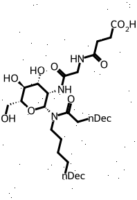 CCCCCCCCCCCCCCN(C(=O)CCCCCCCCCCC)[C@@H]1O[C@H](CO)[C@@H](O)[C@H](O)[C@@H]1NC(=O)CNC(=O)CCC(=O)O